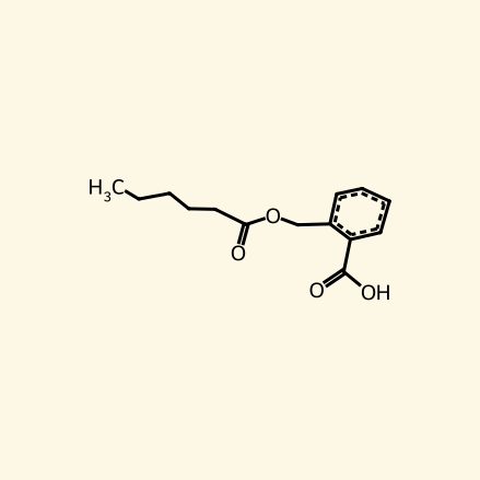 CCCCCC(=O)OCc1ccccc1C(=O)O